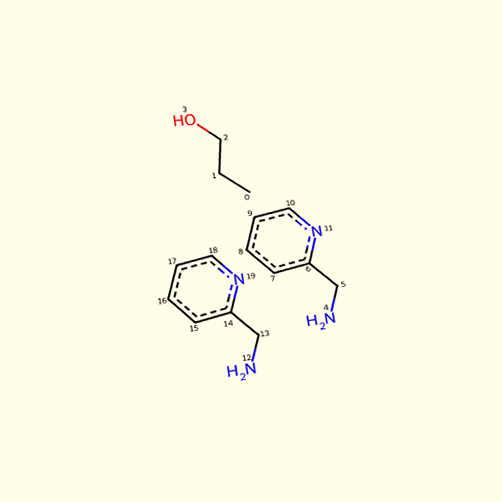 CCCO.NCc1ccccn1.NCc1ccccn1